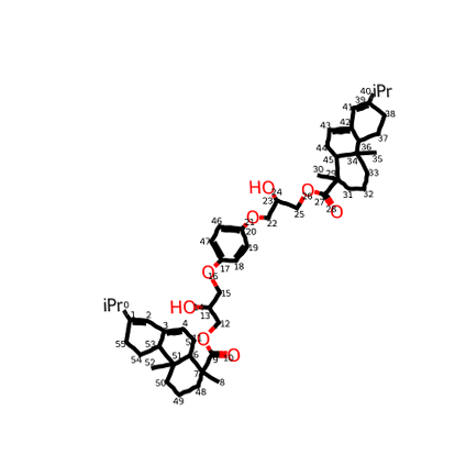 CC(C)C1=CC2=CCC3C(C)(C(=O)OCC(O)COc4ccc(OCC(O)COC(=O)C5(C)CCCC6(C)C7CCC(C(C)C)=CC7=CCC56)cc4)CCCC3(C)C2CC1